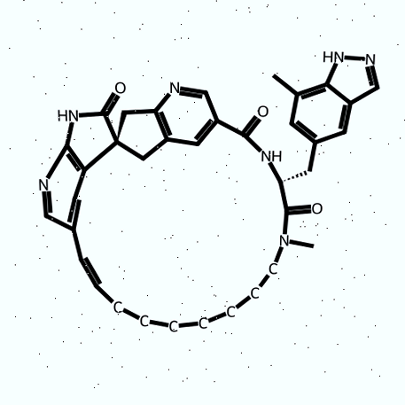 Cc1cc(C[C@H]2NC(=O)c3cnc4c(c3)C[C@@]3(C4)C(=O)Nc4ncc(cc43)C=CCCCCCCCN(C)C2=O)cc2cn[nH]c12